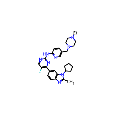 CCN1CCN(Cc2ccc(Nc3ncc(F)c(-c4ccc5nc(C)n(C6CCCC6)c5c4)n3)nc2)CC1